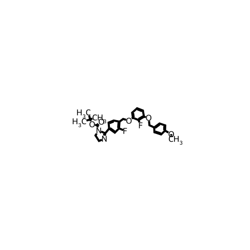 COc1ccc(COc2cccc(OCc3ccc(C4=NCCN4C(=O)OC(C)(C)C)cc3F)c2F)cc1